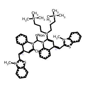 CCCCCCCCCC(N1C(C)=C/C(=C\c2sc3ccccc3[n+]2C)c2ccccc21)N1C(N(CCC[N+](C)(C)C)CCC[N+](C)(C)C)=C/C(=C\c2sc3ccccc3[n+]2C)c2ccccc21